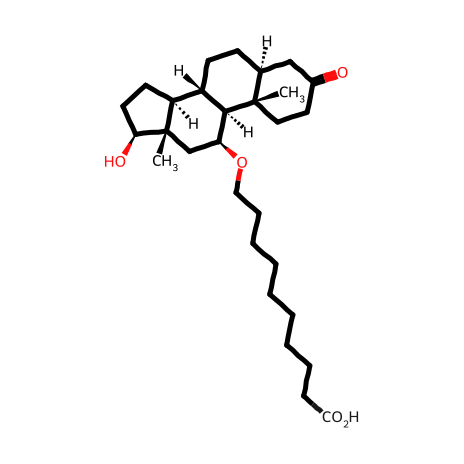 C[C@]12CCC(=O)C[C@@H]1CC[C@@H]1[C@@H]2[C@@H](OCCCCCCCCCC(=O)O)C[C@]2(C)[C@@H](O)CC[C@@H]12